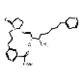 COC(=O)c1cccc(CCCN2C(=O)CC[C@@H]2/C=C/[C@@H](O)[C@@H](C)CCCCCc2ccccc2)c1